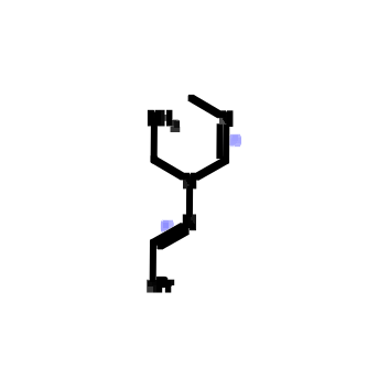 CCC/C=N/N(/C=N\C)CN